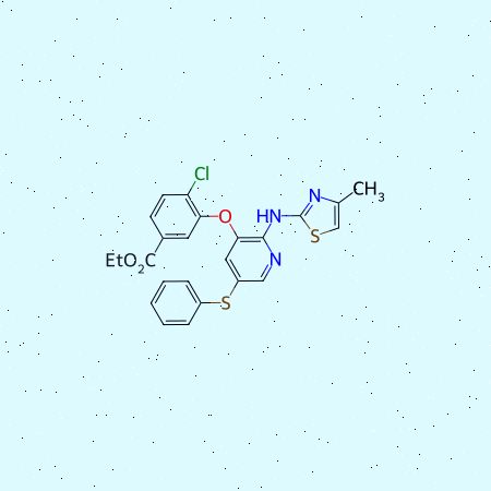 CCOC(=O)c1ccc(Cl)c(Oc2cc(Sc3ccccc3)cnc2Nc2nc(C)cs2)c1